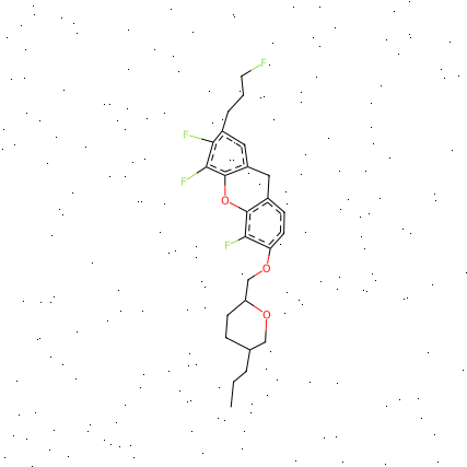 CCCC1CCC(COc2ccc3c(c2F)Oc2c(cc(CCCF)c(F)c2F)C3)OC1